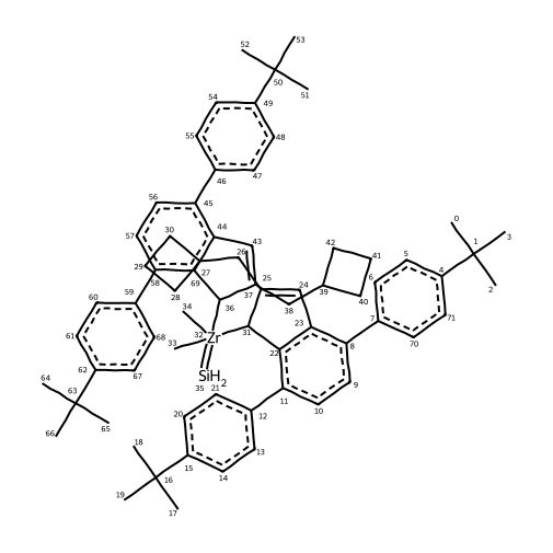 CC(C)(C)c1ccc(-c2ccc(-c3ccc(C(C)(C)C)cc3)c3c2C=C(CC2CCC2)[CH]3[Zr]([CH3])([CH3])(=[SiH2])[CH]2C(CC3CCC3)=Cc3c(-c4ccc(C(C)(C)C)cc4)ccc(-c4ccc(C(C)(C)C)cc4)c32)cc1